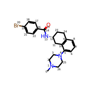 CN1CCN(c2cccc3c2C[C@H](NC(=O)c2ccc(Br)cc2)CC3)CC1